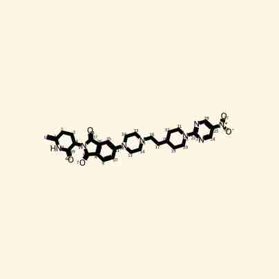 C=C1CCC(N2C(=O)c3ccc(N4CCN(CCC5CCN(c6ncc([N+](=O)[O-])cn6)CC5)CC4)cc3C2=O)C(=O)N1